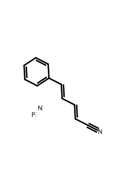 N#CC=CC=Cc1ccccc1.[N].[P]